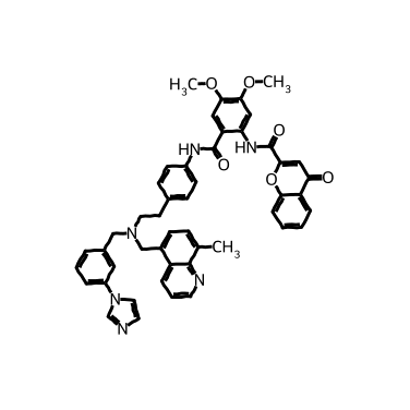 COc1cc(NC(=O)c2cc(=O)c3ccccc3o2)c(C(=O)Nc2ccc(CCN(Cc3cccc(-n4ccnc4)c3)Cc3ccc(C)c4ncccc34)cc2)cc1OC